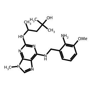 COc1cccc(CNc2nc(NC(C)CC(C)(C)O)nc3c2ncn3C)c1N